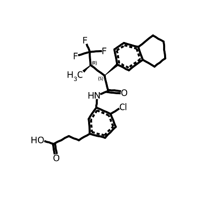 C[C@H]([C@H](C(=O)Nc1cc(CCC(=O)O)ccc1Cl)c1ccc2c(c1)CCCC2)C(F)(F)F